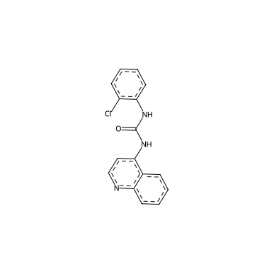 O=C(Nc1ccccc1Cl)Nc1ccnc2ccccc12